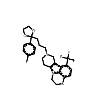 Fc1ccc(C2(CCCN3CCc4c(c5c(C(F)(F)F)ccc6c5n4CCS6)C3)OCCO2)cc1